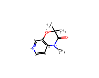 CN1C(=O)C(C)(C)Oc2cnccc21